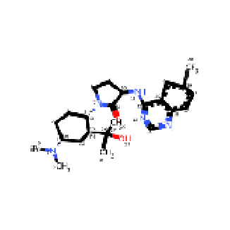 CC(C)N(C)[C@@H]1CC[C@H](N2CCC(Nc3ncnc4ccc(C(F)(F)F)cc34)C2=O)[C@@H](C(C)(C)O)C1